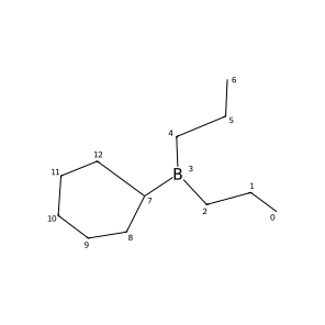 CCCB(CCC)C1CCCCC1